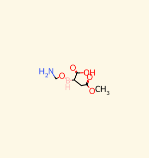 COC(=O)CC(BOCN)C(=O)O